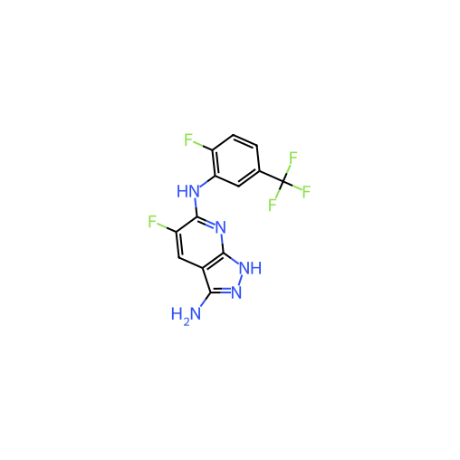 Nc1n[nH]c2nc(Nc3cc(C(F)(F)F)ccc3F)c(F)cc12